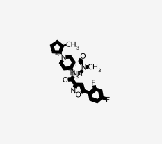 C[C@@H]1CCC[C@H]1N1CC[C@H](NC(=O)c2cc(-c3ccc(F)cc3F)on2)[C@@H](C(=O)N(C)C)C1